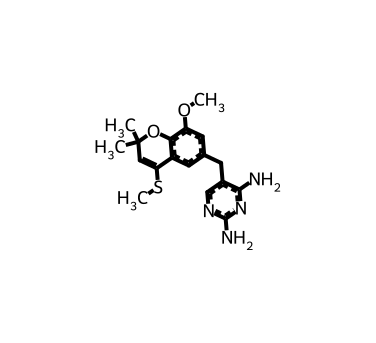 COc1cc(Cc2cnc(N)nc2N)cc2c1OC(C)(C)C=C2SC